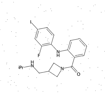 CC(C)NCC1CN(C(=O)c2ccccc2Nc2ccc(I)cc2F)C1